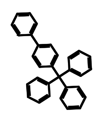 [c]1ccccc1-c1ccc(C(c2ccccc2)(c2ccccc2)c2ccccc2)cc1